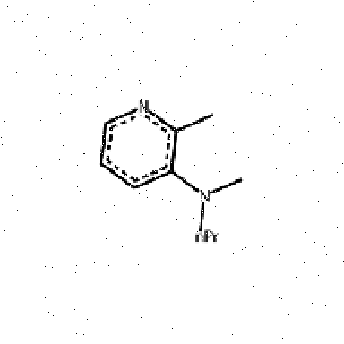 CCCN(C)c1cccnc1C